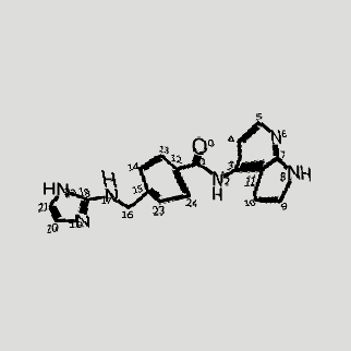 O=C(Nc1ccnc2[nH]ccc12)c1ccc(CNc2ncc[nH]2)cc1